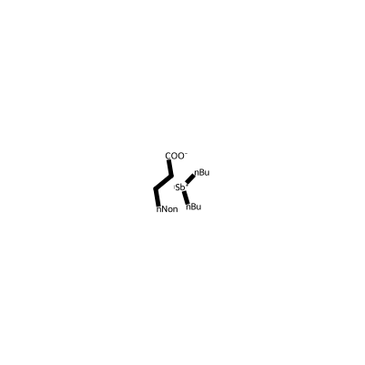 CCCCCCCCCCCC(=O)[O-].CCC[CH2][Sb+][CH2]CCC